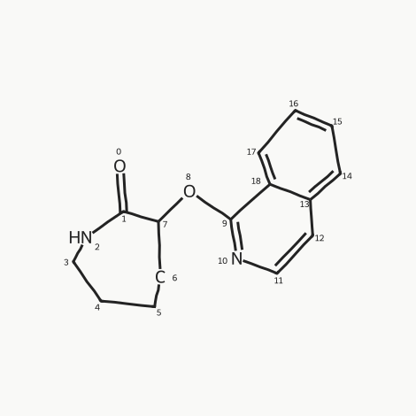 O=C1NCCCCC1Oc1nccc2ccccc12